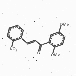 COc1ccc(OC)c(C(=O)/C=C/c2ccccc2[N+](=O)[O-])c1